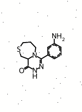 Nc1cccc(C2=NNC(=O)C3CSCCCN23)c1